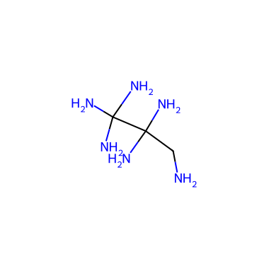 NCC(N)(N)C(N)(N)N